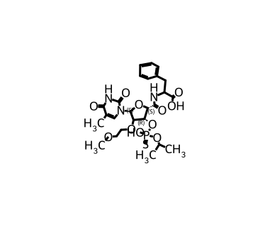 COCCOC1[C@@H](OP(O)(=S)OC(C)C)[C@@H](C(=O)NC(Cc2ccccc2)C(=O)O)O[C@@H]1n1cc(C)c(=O)[nH]c1=O